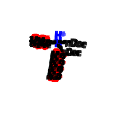 CCCCCCCCCCCCC[NH+](CCCCCCCCCCCCC)CCCCCCCCCCCCC.[O]=[Mo](=[O])([O-])[O-].[O]=[Mo](=[O])([O-])[O-].[O]=[Mo](=[O])([O-])[O-].[O]=[Mo](=[O])([O-])[O-].[O]=[Mo](=[O])([O-])[O-].[O]=[Mo](=[O])([O-])[O-]